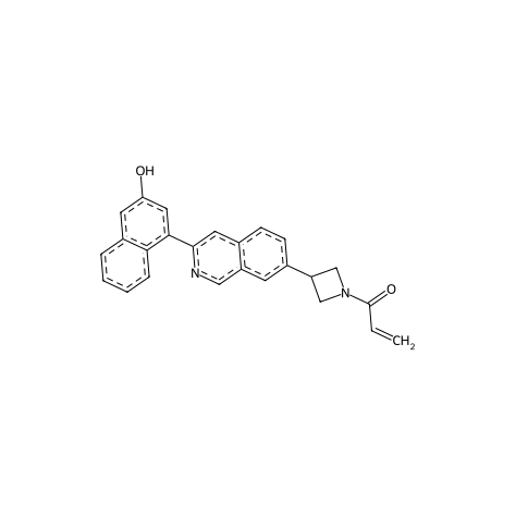 C=CC(=O)N1CC(c2ccc3cc(-c4cc(O)cc5ccccc45)ncc3c2)C1